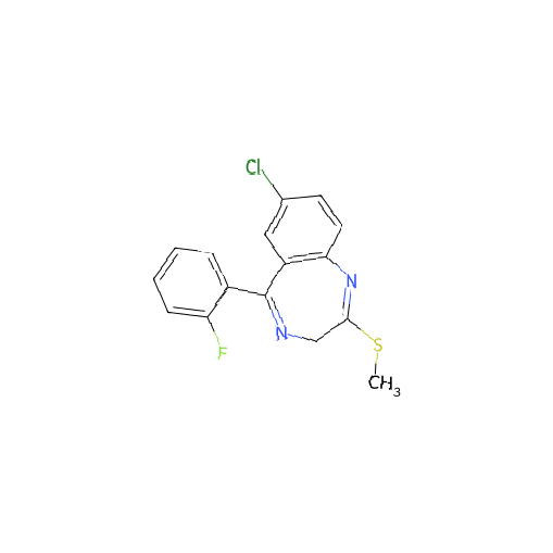 CSC1=Nc2ccc(Cl)cc2C(c2ccccc2F)=NC1